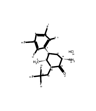 C[C@@H]1[C@H](c2c(F)c(F)cc(F)c2F)C[C@H](N)C(=O)N1CC(F)(F)F.Cl